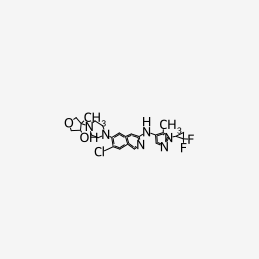 Cc1c(Nc2cc3cc(N4CCN(C5(C)COCC5O)CC4)c(Cl)cc3cn2)cnn1C1CC1(F)F